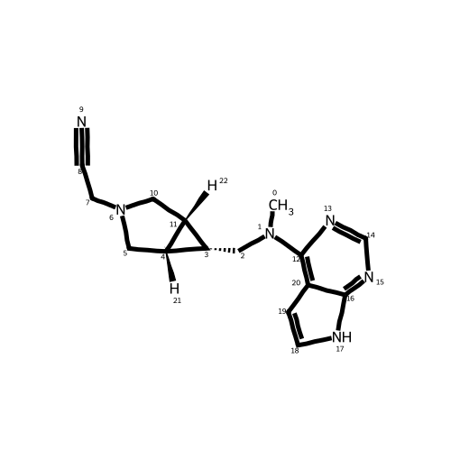 CN(C[C@@H]1[C@@H]2CN(CC#N)C[C@@H]21)c1ncnc2[nH]ccc12